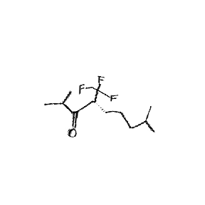 CC(C)CCC[C@H](C(=O)C(C)C)C(F)(F)F